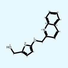 OCc1ccc(OCc2ccc3ccccc3n2)s1